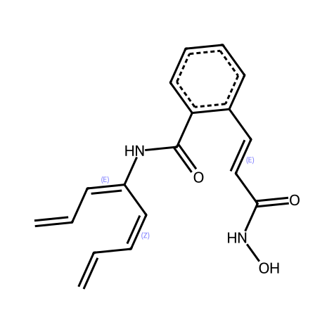 C=C/C=C\C(=C/C=C)NC(=O)c1ccccc1/C=C/C(=O)NO